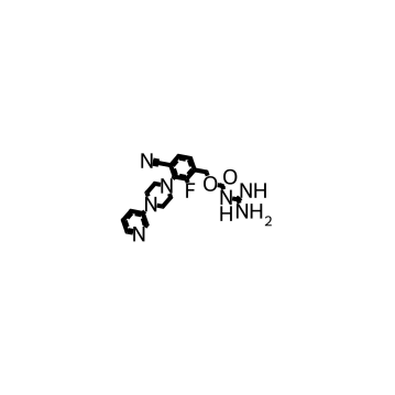 N#Cc1ccc(COC(=O)NC(=N)N)c(F)c1N1CCN(c2cccnc2)CC1